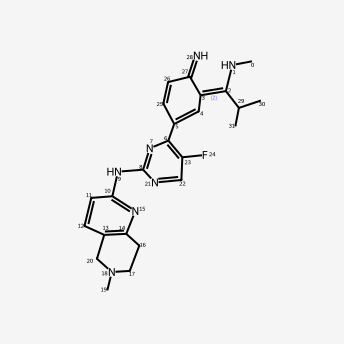 CN/C(=C1/C=C(c2nc(Nc3ccc4c(n3)CCN(C)C4)ncc2F)C=CC1=N)C(C)C